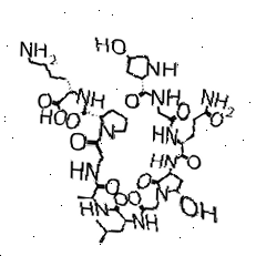 CC(C)C[C@H](NC(=O)CN1C(=O)[C@@H](NC(=O)[C@H](CCC(N)=O)NC(=O)CNC(=O)[C@@H]2C[C@@H](O)CN2)CC1O)C(=O)N[C@@H](C)C(=O)NCC(=O)N1CCC[C@H]1C(=O)N[C@@H](CCCCN)C(=O)O